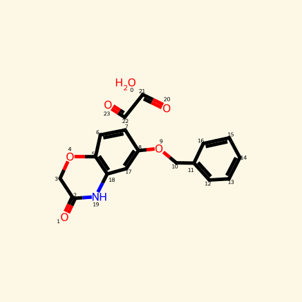 O.O=C1COc2ccc(OCc3ccccc3)cc2N1.O=CC=O